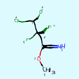 COC(=N)C(F)(F)C(Cl)Cl